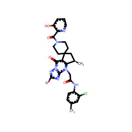 C[C@@H]1CC2(CCN(C(=O)c3ncccc3O)CC2)c2c1n(CC(=O)Nc1ccc(C(F)(F)F)cc1Cl)c1nc(Br)nn1c2=O